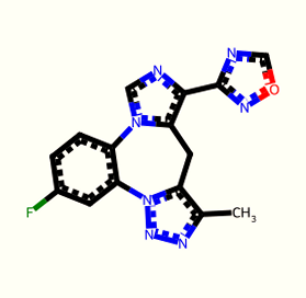 Cc1nnn2c1Cc1c(-c3ncon3)ncn1-c1ccc(F)cc1-2